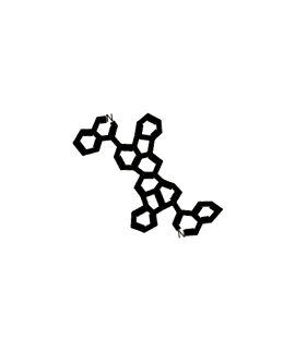 c1ccc2c(-c3ccc4c5cc6c7ccccc7c7c(-c8cncc9ccccc89)ccc(c5cc5c8ccccc8c3c45)c67)cncc2c1